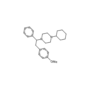 COc1ccc(CC(c2ccccc2)N2CCN(C3CCCCC3)CC2)cc1